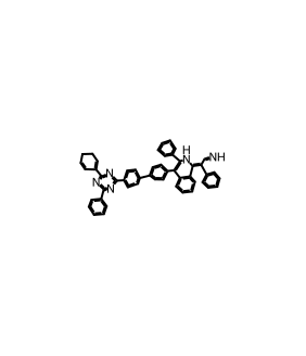 N=C/C(=C1\NC(c2ccccc2)=C(c2ccc(-c3ccc(-c4nc(C5=CCCC=C5)nc(-c5ccccc5)n4)cc3)cc2)c2ccccc21)c1ccccc1